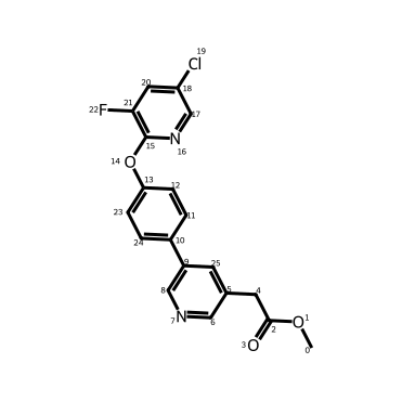 COC(=O)Cc1cncc(-c2ccc(Oc3ncc(Cl)cc3F)cc2)c1